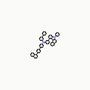 c1ccc(-c2cccc(N(c3ccc(-c4ccc(-c5cccc6ccccc56)cc4)cc3)c3cccc(-c4cccc5c4c4c6ccccc6ccc4n5-c4ccccc4)c3)c2)cc1